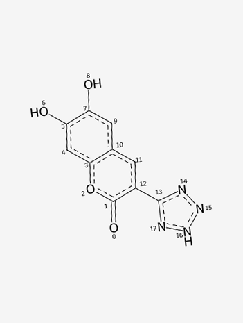 O=c1oc2cc(O)c(O)cc2cc1-c1nn[nH]n1